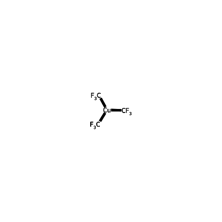 F[C](F)(F)[Cu]([C](F)(F)F)[C](F)(F)F